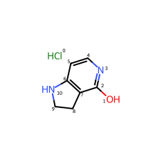 Cl.Oc1nccc2c1CCN2